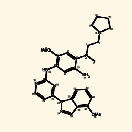 COc1cc(N(C)CCN2CCCC2)c(N)cc1Nc1nccc(-n2ncc3c(OC)cccc32)n1